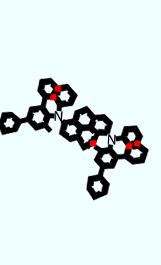 Cc1cc(-c2ccccc2)cc(-c2ccccc2)c1N(c1ccccc1)c1ccc2ccc3c(N(c4ccccc4)c4c(F)cc(-c5ccccc5)cc4-c4ccccc4)ccc4ccc1c2c43